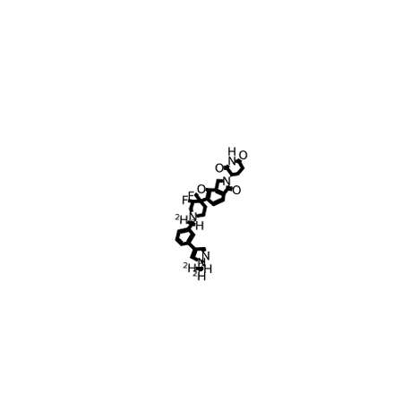 [2H]C([2H])(c1cccc(-c2cnn(C([2H])([2H])[2H])c2)c1)N1CCC2(COc3c2ccc2c3CN([C@H]3CCC(=O)NC3=O)C2=O)C(F)(F)C1